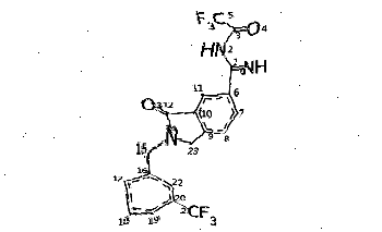 N=C(NC(=O)C(F)(F)F)c1ccc2c(c1)C(=O)N(Cc1cccc(C(F)(F)F)c1)C2